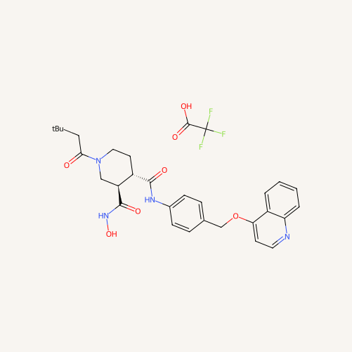 CC(C)(C)CC(=O)N1CC[C@H](C(=O)Nc2ccc(COc3ccnc4ccccc34)cc2)[C@@H](C(=O)NO)C1.O=C(O)C(F)(F)F